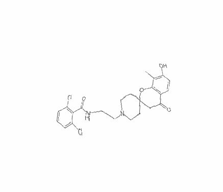 Cc1c(O)ccc2c1OC1(CCN(CCNC(=O)c3c(Cl)cccc3Cl)CC1)CC2=O